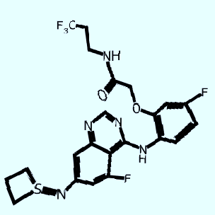 O=C(COc1cc(F)ccc1Nc1ncnc2cc(N=S3CCC3)cc(F)c12)NCCC(F)(F)F